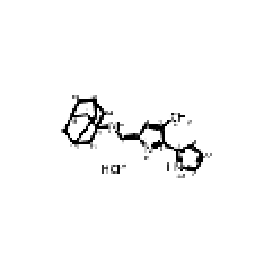 CC1=C/C(=C\NC23CC4CC(CC(C4)C2)C3)N=C1c1ccc[nH]1.Cl